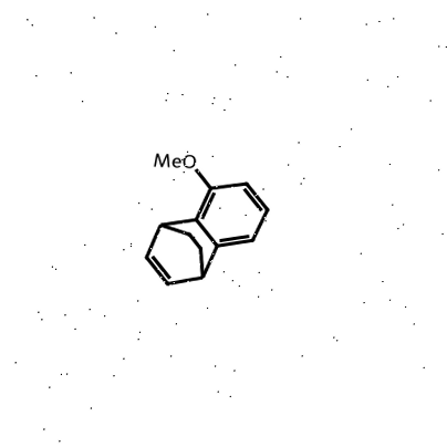 COc1cccc2c1C1C=CC2CC1